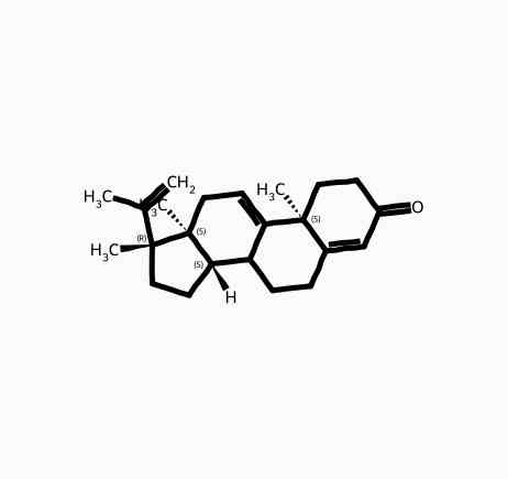 C=C(C)[C@@]1(C)CC[C@H]2C3CCC4=CC(=O)CC[C@]4(C)C3=CC[C@@]21C